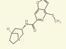 CSc1nc(C(=O)N[C@@H]2C[C@@H]3CCN(C3)C2)cc2occc12